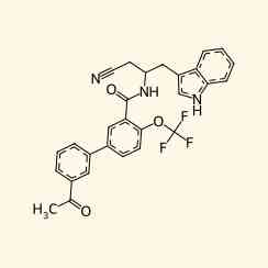 CC(=O)c1cccc(-c2ccc(OC(F)(F)F)c(C(=O)NC(CC#N)Cc3c[nH]c4ccccc34)c2)c1